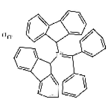 [Cl-].[Cl-].c1ccc([C](c2ccccc2)=[Ti+2]([CH]2c3ccccc3-c3ccccc32)[CH]2c3ccccc3-c3ccccc32)cc1